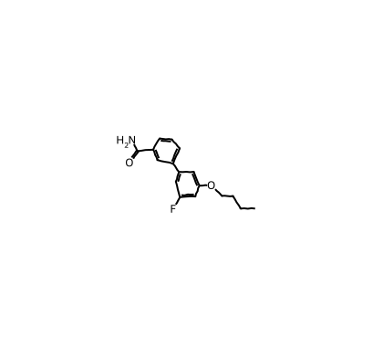 CCCCOc1cc(F)cc(-c2cccc(C(N)=O)c2)c1